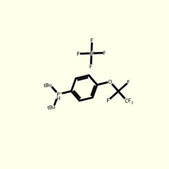 CC(C)(C)[PH+](c1ccc(OC(F)(F)C(F)(F)F)cc1)C(C)(C)C.F[B-](F)(F)F